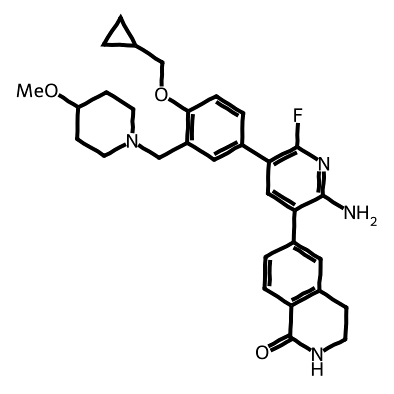 COC1CCN(Cc2cc(-c3cc(-c4ccc5c(c4)CCNC5=O)c(N)nc3F)ccc2OCC2CC2)CC1